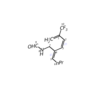 C=C(/C=C\C(=C/CCC)CNC=O)C(F)(F)F